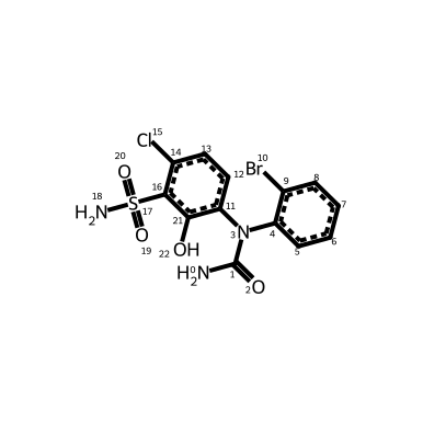 NC(=O)N(c1ccccc1Br)c1ccc(Cl)c(S(N)(=O)=O)c1O